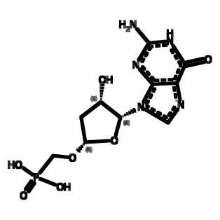 Nc1nc2c(ncn2[C@@H]2O[C@H](OCP(=O)(O)O)C[C@@H]2O)c(=O)[nH]1